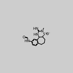 CN1C(=N)NC2c3cc(NC=O)ccc3CCCC2[S+]1[O-]